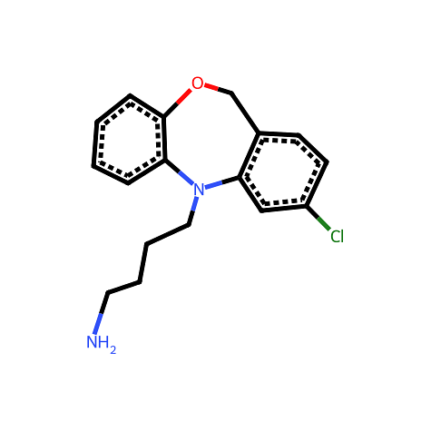 NCCCCN1c2cc(Cl)ccc2COc2ccccc21